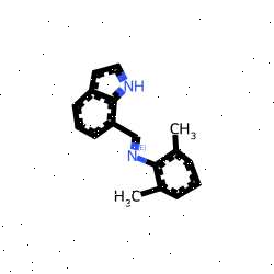 Cc1cccc(C)c1/N=C/c1cccc2cc[nH]c12